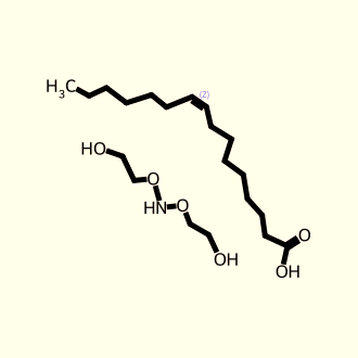 CCCCCC/C=C\CCCCCCCC(=O)O.OCCONOCCO